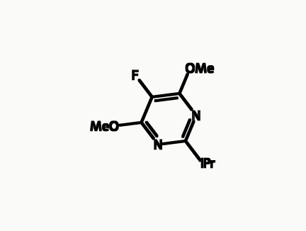 COc1nc(C(C)C)nc(OC)c1F